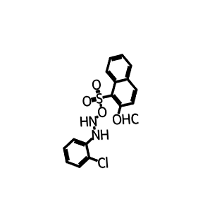 O=Cc1ccc2ccccc2c1S(=O)(=O)ONNc1ccccc1Cl